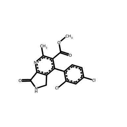 COC(=O)c1c(C)nc2c(c1-c1ccc(Cl)cc1Cl)CNC2=O